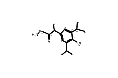 CC(C)c1cc(C(C)C(=O)NN)cc(C(C)C)c1O